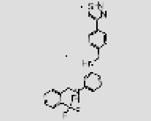 FC(F)(F)c1ccccc1CNc1cccc(NCc2ccc(-c3csnn3)cc2)c1